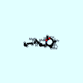 CNCCCC(NC(=O)CNC(=O)CCCCCN1C(=O)C=CC1=O)C(=O)Nc1ccc(COC(=O)N2C3/C=C/[C@@H](OC)C4(O)C[C@H](OC(=O)N4)[C@@H](C)CCC(OC(=O)C(C)C)CC(=O)N(C)c4cc(cc(OC)c4Cl)CC32C)cc1